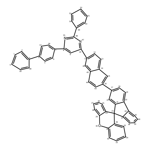 c1ccc(-c2ccc(-c3cc(-c4ccc5cc(-c6ccc7c(c6)C6(c8ccccc8Oc8ccccc86)c6ccccc6-7)ccc5c4)nc(-c4ccccc4)n3)cc2)cc1